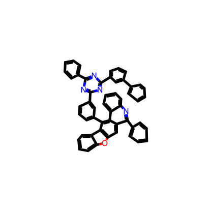 c1ccc(-c2cccc(-c3nc(-c4ccccc4)nc(-c4cccc(-c5c6c(cc7c(-c8ccccc8)nc8ccccc8c57)oc5ccccc56)c4)n3)c2)cc1